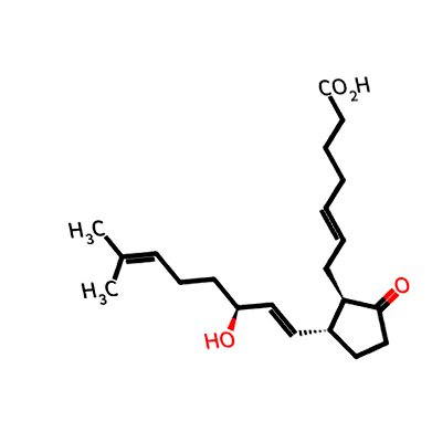 CC(C)=CCC[C@H](O)C=C[C@H]1CCC(=O)[C@@H]1CC=CCCCC(=O)O